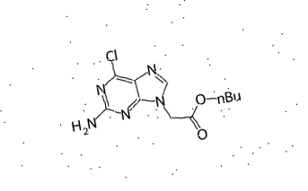 CCCCOC(=O)Cn1cnc2c(Cl)nc(N)nc21